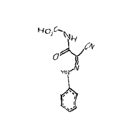 N#C/C(=N/Nc1ccccc1)C(=O)NC(=O)O